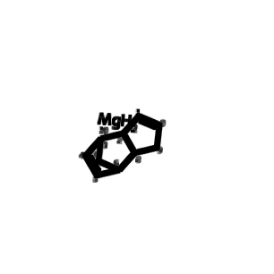 C1=CC2C3C=CC(C3)C2C1.[MgH2]